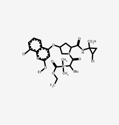 CCOc1cc(OC2CC(C(=O)NC3(C(=O)O)CC3CC)N(C(=O)C(C(C)(C)C)[N+](C)(C)C(=O)OCC(F)(F)F)C2)c2cccc(Cl)c2n1